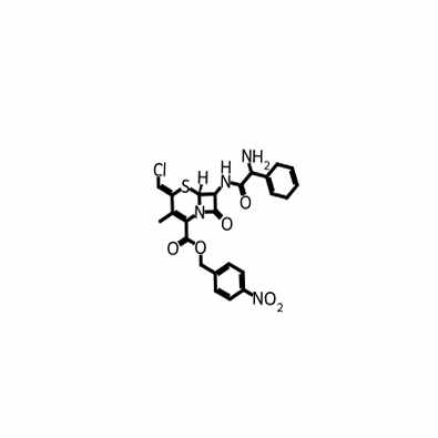 CC1=C(C(=O)OCc2ccc([N+](=O)[O-])cc2)N2C(=O)C(NC(=O)C(N)C3=CCC=CC3)[C@H]2S/C1=C\Cl